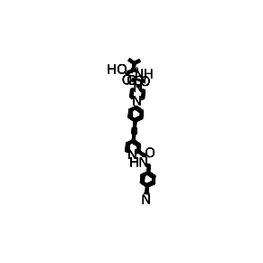 CC(C)[C@@H](NS(=O)(=O)N1CCN(c2ccc(C#Cc3ccnc(C(=O)NCc4ccc(C#N)cc4)c3)cc2)CC1)C(=O)O